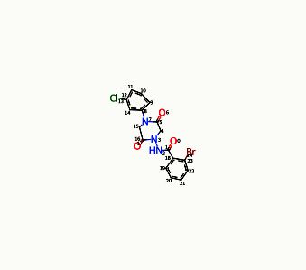 O=C(NN1CC(=O)N(c2cccc(Cl)c2)CC1=O)c1ccccc1Br